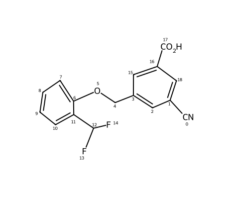 N#Cc1cc(COc2ccccc2C(F)F)cc(C(=O)O)c1